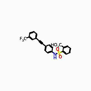 O=C(O)c1ccccc1S(=O)(=O)Nc1ccc(C#Cc2cccc(C(F)(F)F)c2)cc1